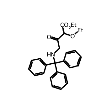 CCOC(=O)C(OCC)C(=O)CNC(c1ccccc1)(c1ccccc1)c1ccccc1